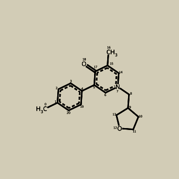 Cc1ccc(-c2cn(CC3CCOC3)cc(C)c2=O)cc1